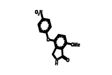 COc1ccc(Oc2ccc([N+](=O)[O-])cc2)c2c1C(=O)NC2